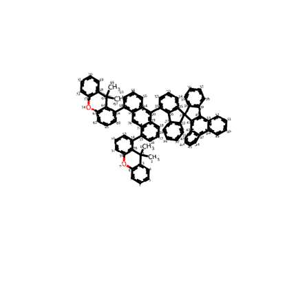 CC1(C)c2ccccc2Oc2cccc(-c3cccc4c(-c5cccc6c5-c5ccccc5C65c6ccccc6-c6c5c5ccccc5c5ccccc65)c5cccc(-c6cccc7c6C(C)(C)c6ccccc6O7)c5cc34)c21